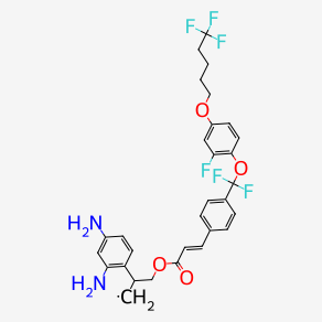 [CH2]C(COC(=O)/C=C/c1ccc(C(F)(F)Oc2ccc(OCCCCC(F)(F)F)cc2F)cc1)c1ccc(N)cc1N